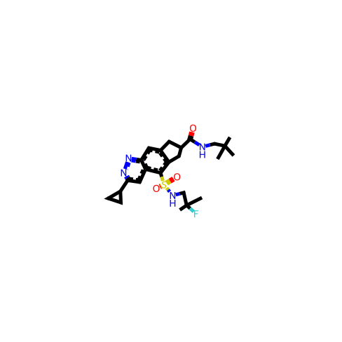 CC(C)(C)CNC(=O)C1Cc2cc3nnc(C4CC4)cc3c(S(=O)(=O)NCC(C)(C)F)c2C1